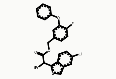 CC(C)C(C(=O)OCc1ccc(F)c(Oc2ccccc2)c1)c1scc2cc(Cl)ccc12